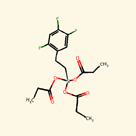 CCC(=O)O[Si](CCc1cc(F)c(F)cc1F)(OC(=O)CC)OC(=O)CC